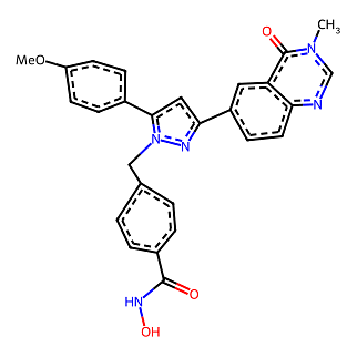 COc1ccc(-c2cc(-c3ccc4ncn(C)c(=O)c4c3)nn2Cc2ccc(C(=O)NO)cc2)cc1